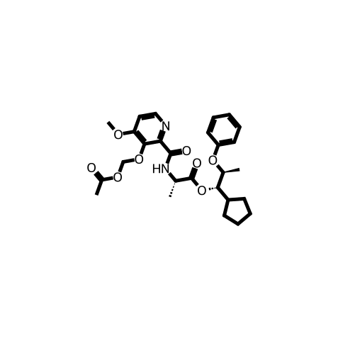 COc1ccnc(C(=O)N[C@@H](C)C(=O)O[C@@H](C2CCCC2)[C@H](C)Oc2ccccc2)c1OCOC(C)=O